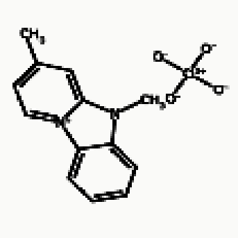 Cc1cc[n+]2c3ccccc3n(C)c2c1.[O-][Cl+3]([O-])([O-])[O-]